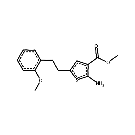 COC(=O)c1cc(CCc2ccccc2OC)sc1N